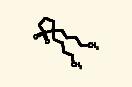 CCCCCC1(CCCCC)CCCS1(=O)=O